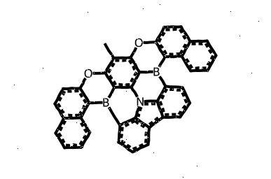 Cc1c2c3c4c5c1Oc1ccc6ccccc6c1B5c1cccc5c6cccc(c6n-4c15)B3c1c(ccc3ccccc13)O2